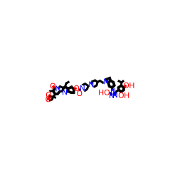 CCc1c2c(nc3ccc(OC(=O)N4CCC(N5CCC(CCn6ccc7ccc(-n8c(O)nnc8-c8cc(C(C)C)c(O)cc8O)cc76)CC5)CC4)cc13)-c1cc3c(c(=O)n1C2)COC(=O)C3(C)CC